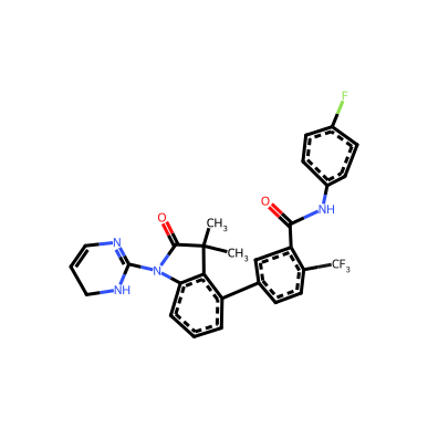 CC1(C)C(=O)N(C2=NC=CCN2)c2cccc(-c3ccc(C(F)(F)F)c(C(=O)Nc4ccc(F)cc4)c3)c21